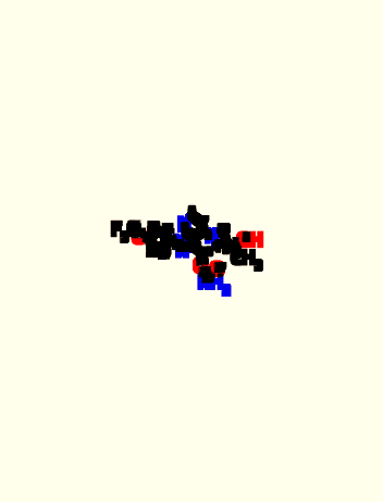 CC(O)C1CN(c2ccnc3c2c(COC(N)=O)nn3-c2ccc(OC(F)(F)F)cc2)C1